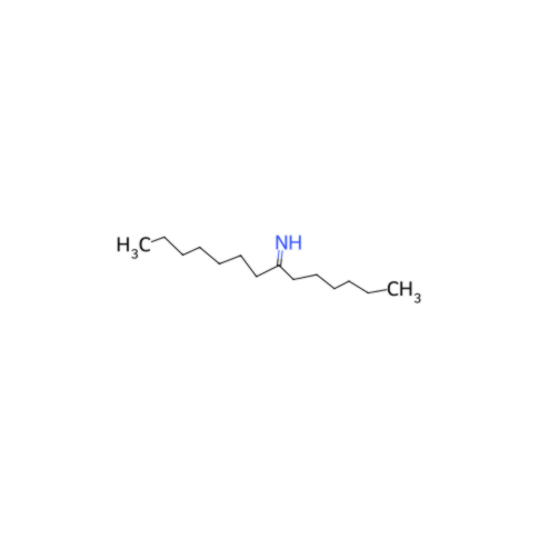 CCCCCCCC(=N)CCCCCC